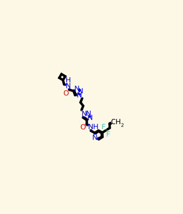 C=CCC(F)(F)c1ccnc(CNC(=O)c2cn(CCCCn3cc(C(=O)NCC4CCC4)nn3)nn2)c1